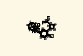 CC1CC2CC(C1)N2C(=O)Nc1ccc(Cl)c([C@@H]2CC[C@@H]2C(F)F)c1